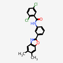 Cc1cc2nc(-c3cccc(NC(=O)c4cc(Cl)ccc4Cl)c3)oc2cc1C